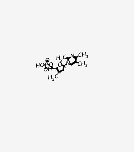 C=C1N=C(C)C(C)=CN1[C@H]1C[C@H](C)[C@@H](COP(=O)(O)O)O1